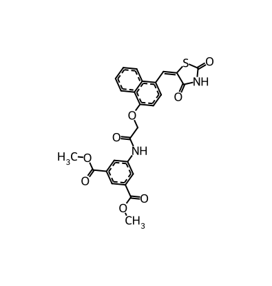 COC(=O)c1cc(NC(=O)COc2ccc(C=C3SC(=O)NC3=O)c3ccccc23)cc(C(=O)OC)c1